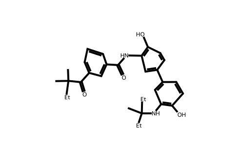 CCC(C)(CC)Nc1cc(-c2ccc(O)c(NC(=O)c3cccc(C(=O)C(C)(C)CC)c3)c2)ccc1O